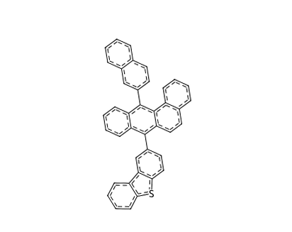 c1ccc2cc(-c3c4ccccc4c(-c4ccc5sc6ccccc6c5c4)c4ccc5ccccc5c34)ccc2c1